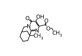 CCOC(=O)c1nc2n(c(=O)c1O)CC1CCCC2(C)C1